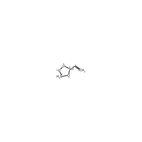 C=C[SiH]1OO[SiH2]O1